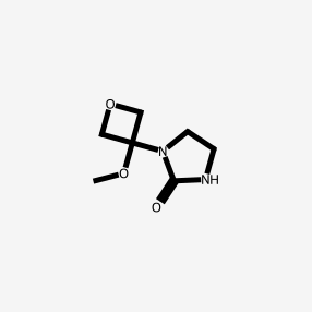 COC1(N2CCNC2=O)COC1